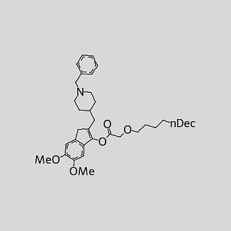 CCCCCCCCCCCCCCOCC(=O)OC1=C(CC2CCN(Cc3ccccc3)CC2)Cc2cc(OC)c(OC)cc21